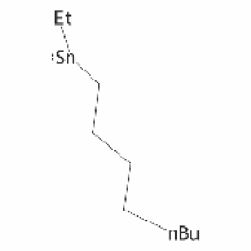 CCCCCCC[CH2][Sn][CH2]C